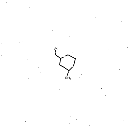 CC(=O)CC1CCCC(N)C1